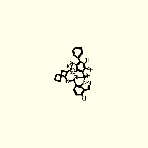 [2H]c1c([2H])c(C([2H])([2H])n2ncc3c(Cl)ccc(C(=O)NC4C(C(=O)O)CC45CCC5)c32)c([2H])c([2H])c1-c1ccccc1